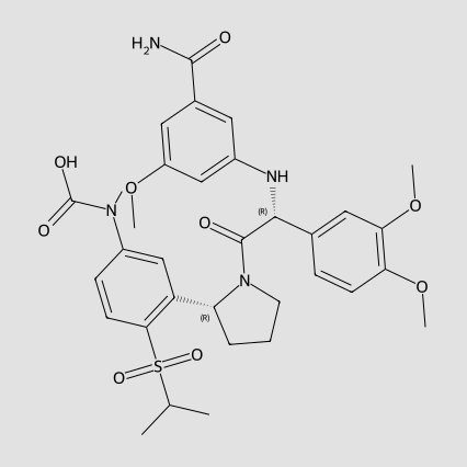 COc1cc(N[C@@H](C(=O)N2CCC[C@@H]2c2cc(N(C)C(=O)O)ccc2S(=O)(=O)C(C)C)c2ccc(OC)c(OC)c2)cc(C(N)=O)c1